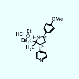 CCOCC.COc1ccc([C@H]2C[C@@H](c3ccncc3)C(C)(C)N2)cc1.Cl